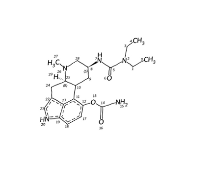 CCN(CC)C(=O)N[C@H]1CC2c3c(OC(N)=O)ccc4[nH]cc(c34)C[C@H]2N(C)C1